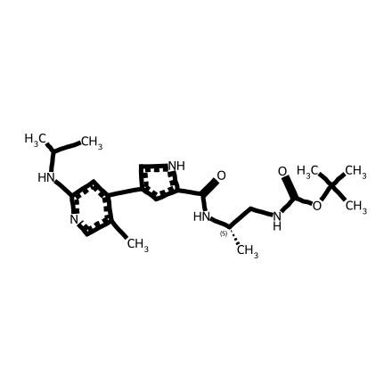 Cc1cnc(NC(C)C)cc1-c1c[nH]c(C(=O)N[C@@H](C)CNC(=O)OC(C)(C)C)c1